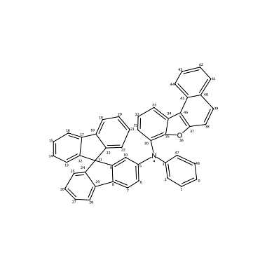 c1ccc(N(c2ccc3c(c2)C2(c4ccccc4-c4ccccc42)c2ccccc2-3)c2cccc3c2oc2ccc4ccccc4c23)cc1